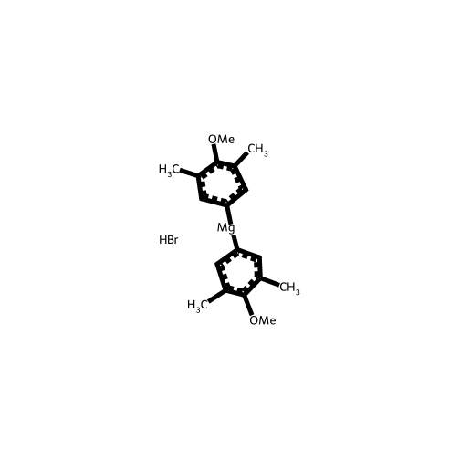 Br.COc1c(C)c[c]([Mg][c]2cc(C)c(OC)c(C)c2)cc1C